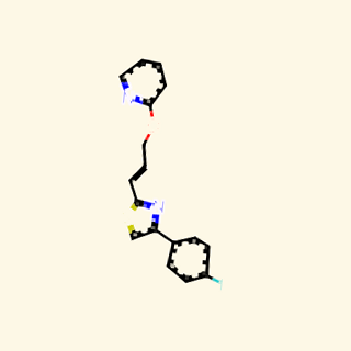 Fc1ccc(-c2csc(C=CCOc3ccccn3)n2)cc1